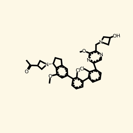 COc1cc(-c2cccc(-c3cccc(-c4cnc(CN5CC(O)C5)c(OC)n4)c3Cl)c2Cl)cc2c1[C@H](N1CC(C(C)=O)C1)CC2